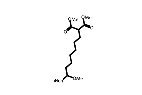 CCCCCCCCCC(CCCCCCC(C(=O)OC)C(=O)OC)OC